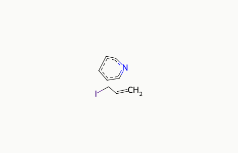 C=CCI.c1ccncc1